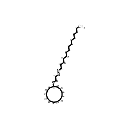 CCCCCCCCCCCCCCC/N=N/CCSC1CCCCCCCCCCCC1